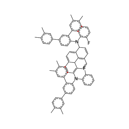 Cc1ccc(-c2ccc(N(C3=C4C=CC5=C6C(=CC=C(C=C3)C46)C(N(c3ccccc3F)c3ccc(-c4ccc(C)c(C)c4)cc3-c3ccc(C)c(C)c3)C=C5)c3ccccc3F)c(-c3ccc(C)c(C)c3)c2)cc1C